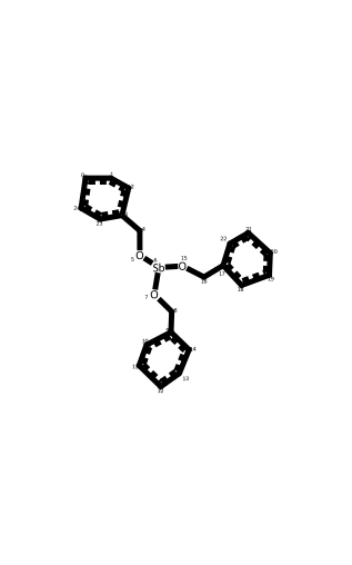 c1ccc(C[O][Sb]([O]Cc2ccccc2)[O]Cc2ccccc2)cc1